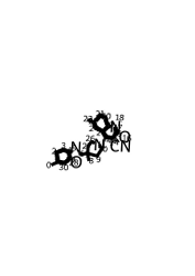 Cc1ccc2nc(C3(C)CCN(c4c(C#N)c(=O)n(C)c5ccc(C)cc45)CC3)oc2c1